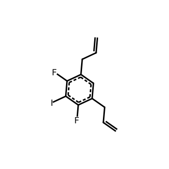 C=CCc1cc(CC=C)c(F)c(I)c1F